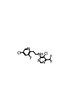 Fc1cc(Cl)cnc1CCNc1ncnc(C(F)F)c1Cl